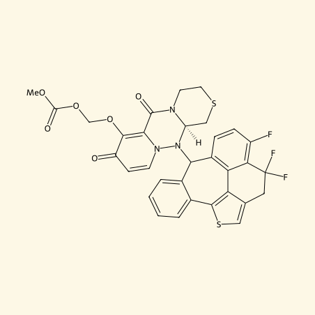 COC(=O)OCOc1c2n(ccc1=O)N(C1c3ccccc3-c3scc4c3-c3c1ccc(F)c3C(F)(F)C4)[C@@H]1CSCCN1C2=O